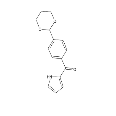 O=C(c1ccc(C2OCCCO2)cc1)c1ccc[nH]1